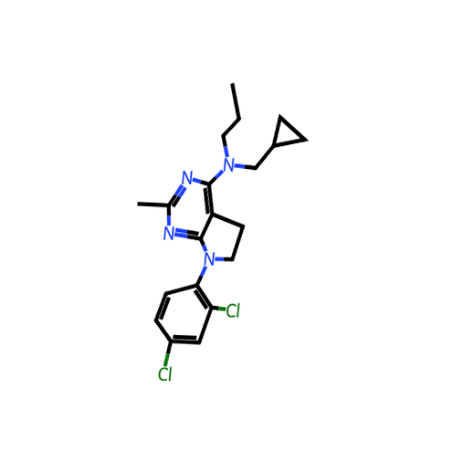 CCCN(CC1CC1)c1nc(C)nc2c1CCN2c1ccc(Cl)cc1Cl